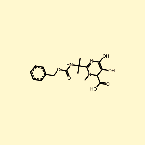 CN1C(C(C)(C)NC(=O)OCc2ccccc2)=NC(O)=C(O)C1C(=O)O